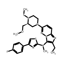 CCc1nc2ccc(N3CCN(SC)[C@H](COC)C3)nn2c1N(C)c1nc(-c2ccc(F)cc2)cs1